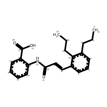 CCCc1cccc(C=CC(=O)Nc2ccccc2C(=O)O)c1CCC